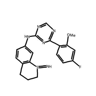 COc1cc(F)ccc1-c1ncnc(Nc2ccc3c(c2)S(=N)CCC3)n1